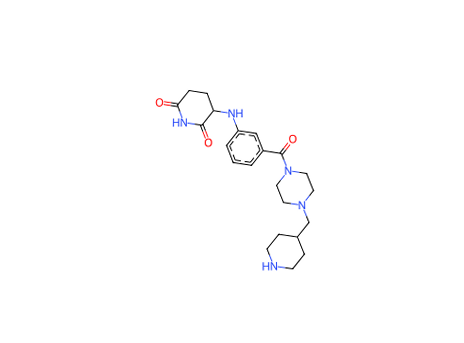 O=C1CCC(Nc2cccc(C(=O)N3CCN(CC4CCNCC4)CC3)c2)C(=O)N1